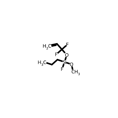 C=CC(F)(F)O[Si](F)(CCC)OC